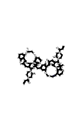 C=CC(=O)N1CCN(c2nc(=O)n3c4nc(c(F)cc24)-c2c(F)cc(CC(C)c4nccc5c4-n4c(=O)nc(N6CCN(C(=O)C=C)C[C@@H]6C)c6cc(F)c(nc64)-c4c(F)cccc4O[C@H](C)CCC5)cc2OCC/C=C\c2ccnc(C(C)C)c2-3)[C@@H](C)C1